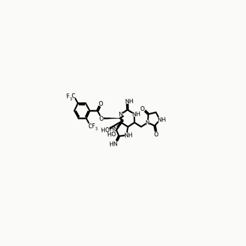 N=C1NC2C(CN3C(=O)CNC3=O)NC(=N)N3C[C@H](OC(=O)c4cc(C(F)(F)F)ccc4C(F)(F)F)C(O)(O)C23N1